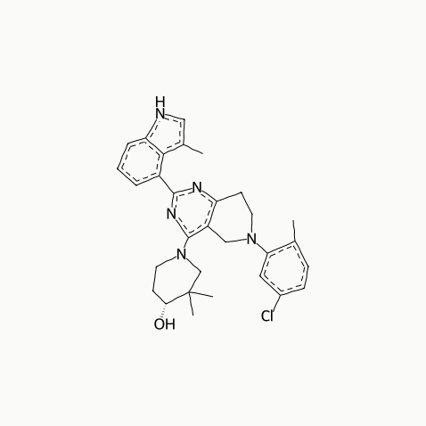 Cc1ccc(Cl)cc1N1CCc2nc(-c3cccc4[nH]cc(C)c34)nc(N3CC[C@@H](O)C(C)(C)C3)c2C1